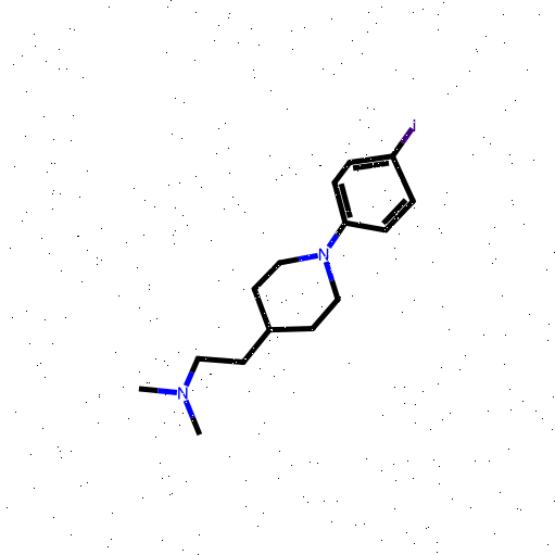 CN(C)CCC1CCN(c2ccc(I)cc2)CC1